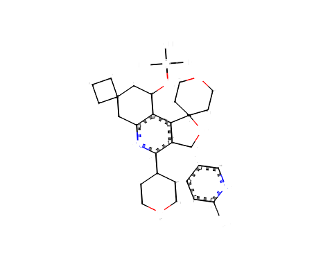 CC(C)(C)[Si](C)(C)OC1CC2(CCC2)Cc2nc(C3CCOCC3)c3c(c21)C1(CCOCC1)O[C@@H]3c1ccc(C(F)(F)F)nc1